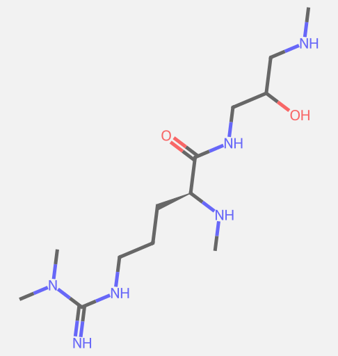 CNCC(O)CNC(=O)[C@H](CCCNC(=N)N(C)C)NC